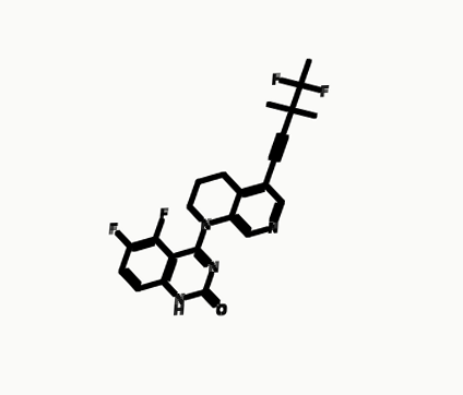 CC(F)(F)C(C)(C)C#Cc1cncc2c1CCCN2c1nc(=O)[nH]c2ccc(F)c(F)c12